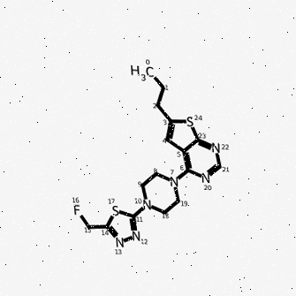 CCCc1cc2c(N3CCN(c4nnc(CF)s4)CC3)ncnc2s1